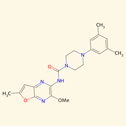 COc1nc2oc(C)cc2nc1NC(=O)N1CCN(c2cc(C)cc(C)c2)CC1